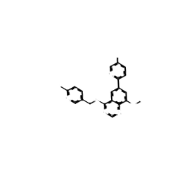 COc1cc(-c2ccc(F)cn2)cc2c(NCc3ccc(C)nc3)ncnc12